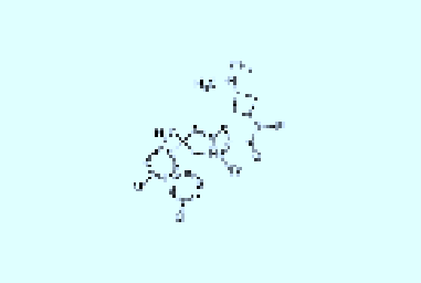 CC(C)C1=C(C(=O)N(C(C)C)[C@H]2C[C@@H](N(C)C)C2)SC2=N[C@@](C)(c3ccc(Cl)cc3)[C@@H](c3ccc(Cl)cc3)N21